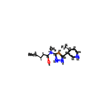 CSCCC(=O)N(C)c1nnc(-c2cnccc2C(F)(F)F)s1